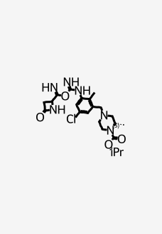 Cc1c(CN2CCN(C(=O)OC(C)C)[C@@H](C)C2)cc(Cl)cc1NC(=N)OC(=N)C1CC(=O)N1